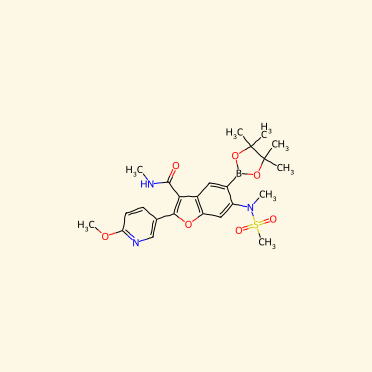 CNC(=O)c1c(-c2ccc(OC)nc2)oc2cc(N(C)S(C)(=O)=O)c(B3OC(C)(C)C(C)(C)O3)cc12